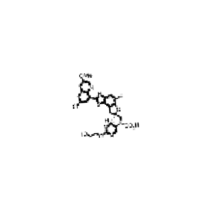 COc1cnc2c(-c3nc4cc(F)c5c(c4s3)C[C@](C)(CN(C(=O)O)c3cnc(OCCO)nc3)O5)cc(Cl)cc2c1